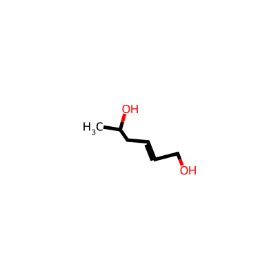 CC(O)CC=CCO